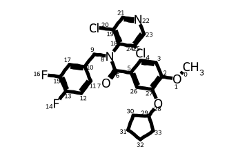 COc1ccc(C(=O)N(Cc2ccc(F)c(F)c2)c2c(Cl)cncc2Cl)cc1OC1CCCC1